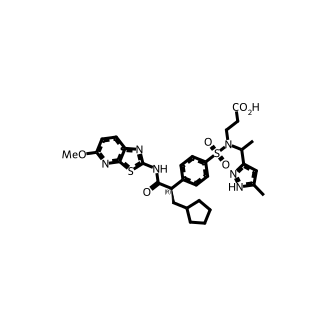 COc1ccc2nc(NC(=O)[C@H](CC3CCCC3)c3ccc(S(=O)(=O)N(CCC(=O)O)C(C)c4cc(C)[nH]n4)cc3)sc2n1